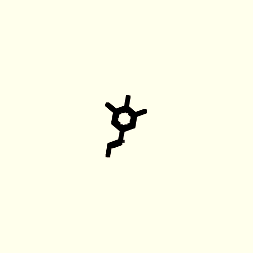 C/C=[C]/c1cc(C)c(C)c(C)c1